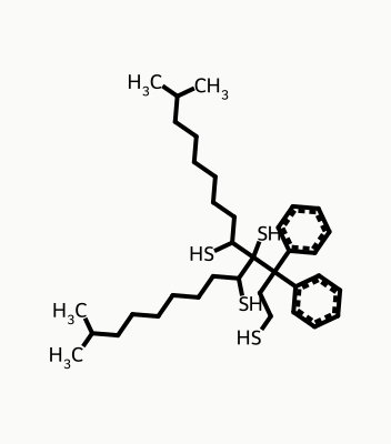 CC(C)CCCCCCC(S)C(S)(C(S)CCCCCCC(C)C)C(CCS)(c1ccccc1)c1ccccc1